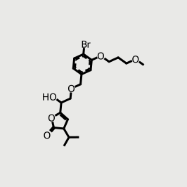 COCCCOc1cc(COCC(O)C2=CC(C(C)C)C(=O)O2)ccc1Br